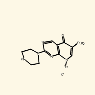 CCn1cc(C(=O)[O-])c(=O)c2cnc(N3CCNCC3)nc21.[K+]